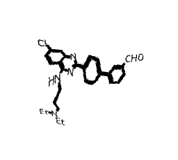 CCN(CC)CCCNc1nc(-c2ccc(-c3cccc(C=O)c3)cc2)nc2cc(Cl)ccc12